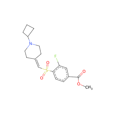 COC(=O)c1ccc(S(=O)(=O)C=C2CCN(C3CCC3)CC2)c(F)c1